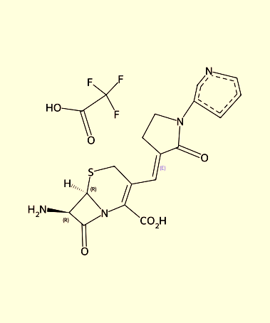 N[C@@H]1C(=O)N2C(C(=O)O)=C(/C=C3\CCN(c4cccnc4)C3=O)CS[C@H]12.O=C(O)C(F)(F)F